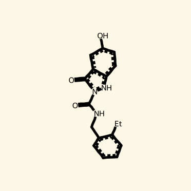 CCc1ccccc1CNC(=O)n1[nH]c2ccc(O)cc2c1=O